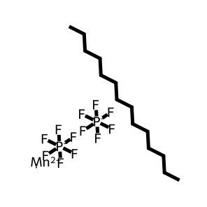 CCCCCCCCCCCCCC.F[P-](F)(F)(F)(F)F.F[P-](F)(F)(F)(F)F.[Mn+2]